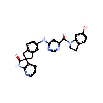 O=C(c1cc(Nc2ccc3c(c2)CC2(C3)C(=O)Nc3ncccc32)ncn1)N1CCc2ccc(O)cc21